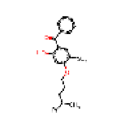 CC(C)C(C)CCCOc1cc(O)c(C(=O)c2ccccc2)cc1S(=O)(=O)O